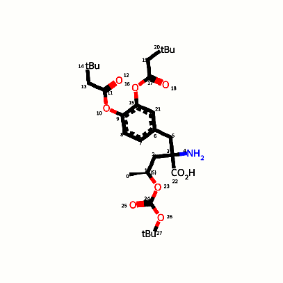 C[C@@H](CC(N)(Cc1ccc(OC(=O)CC(C)(C)C)c(OC(=O)CC(C)(C)C)c1)C(=O)O)OC(=O)OC(C)(C)C